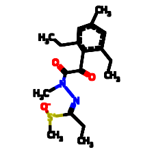 CCC(=NN(C)C(=O)C(=O)c1c(CC)cc(C)cc1CC)[S+](C)[O-]